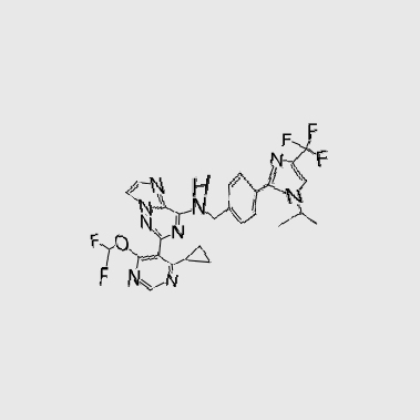 CC(C)n1cc(C(F)(F)F)nc1-c1ccc(CNc2nc(-c3c(OC(F)F)ncnc3C3CC3)nn3ccnc23)cc1